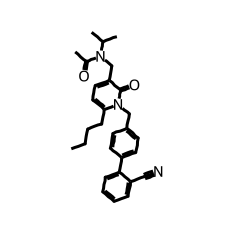 CCCCc1ccc(CN(C(C)=O)C(C)C)c(=O)n1Cc1ccc(-c2ccccc2C#N)cc1